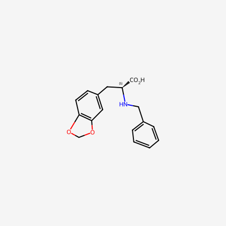 O=C(O)[C@H](Cc1ccc2c(c1)OCO2)NCc1ccccc1